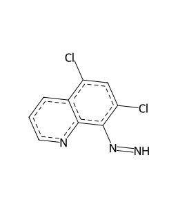 N=Nc1c(Cl)cc(Cl)c2cccnc12